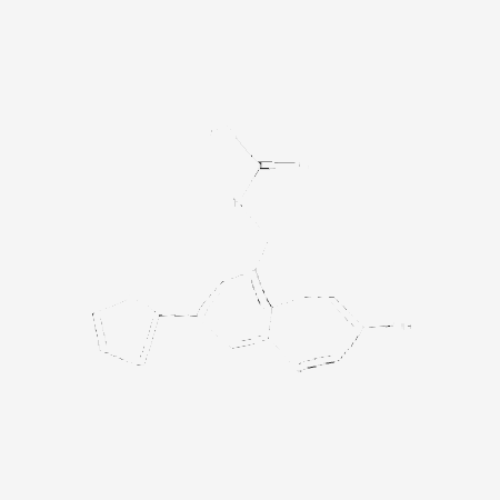 CCCC(=O)NCc1cc(-c2cccs2)cc2ccc(O)cc12